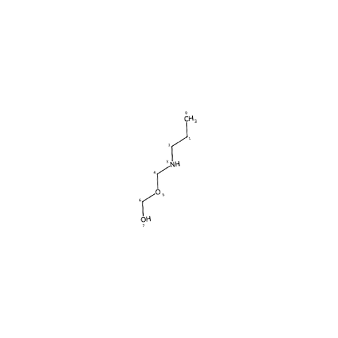 CCCNCOCO